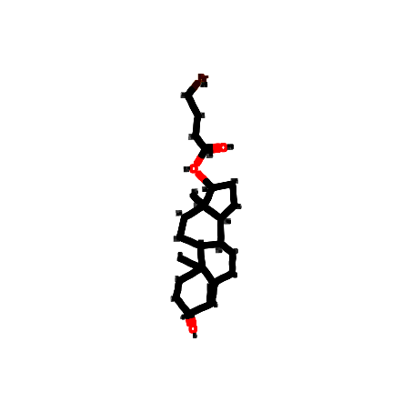 CC12CCC(=O)C=C1CCC1C2CCC2(C)C(OC(=O)CCCBr)CCC12